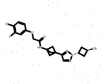 N#C[C@H]1C[C@H](n2ncc(C34CC(NC(=O)COc5ccc(Cl)c(F)c5)(C3)C4)n2)C1